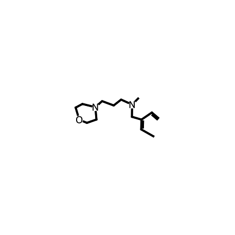 C=C/C(=C\C)CN(C)CCCN1CCOCC1